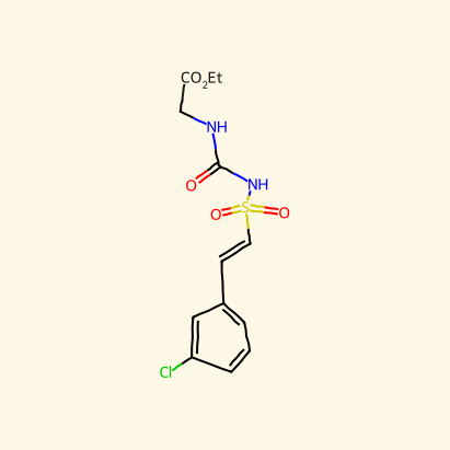 CCOC(=O)CNC(=O)NS(=O)(=O)C=Cc1cccc(Cl)c1